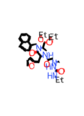 CCNC(=O)NN(C)CC(=O)NC(Cc1ccco1)C(=O)N(Cc1cccc2ccccc12)C(C)C(OCC)OCC